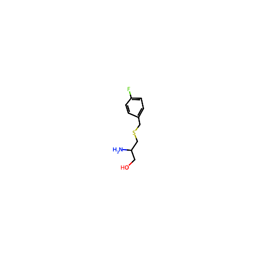 NC(CO)CSCc1ccc(F)cc1